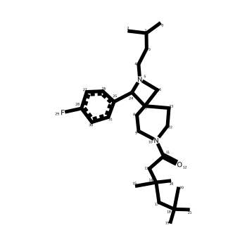 CC(C)CCN1CC2(CCN(C(=O)CC(C)(C)CC(C)(C)C)CC2)C1c1ccc(F)cc1